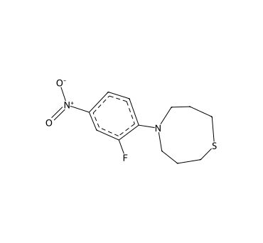 O=[N+]([O-])c1ccc(N2CCCSCCC2)c(F)c1